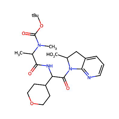 CC(C(=O)NC(C(=O)N1c2ncccc2CC1C(=O)O)C1CCOCC1)N(C)C(=O)OC(C)(C)C